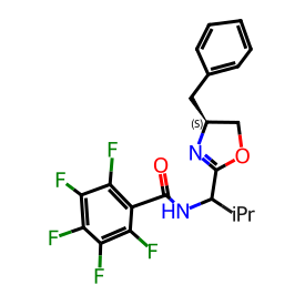 CC(C)C(NC(=O)c1c(F)c(F)c(F)c(F)c1F)C1=N[C@@H](Cc2ccccc2)CO1